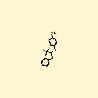 Nc1ccc(OC(Cc2ccccc2)C(F)(F)F)nc1